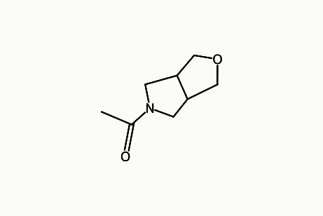 CC(=O)N1CC2COCC2C1